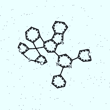 c1ccc(-c2cc(-c3cc4c(c5c3sc3ccccc35)-c3ccccc3C43c4ccccc4Sc4ccccc43)nc(-c3ccccc3)n2)cc1